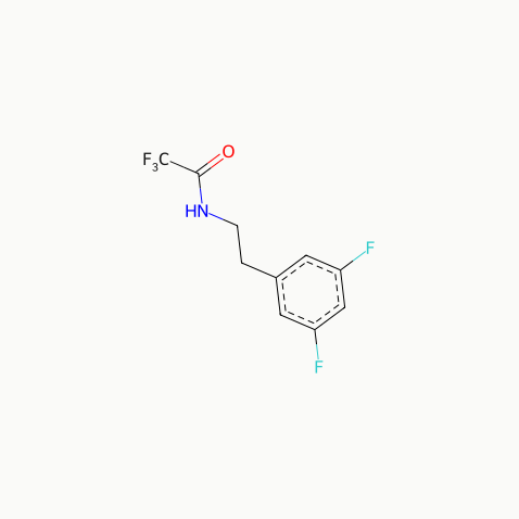 O=C(NCCc1cc(F)cc(F)c1)C(F)(F)F